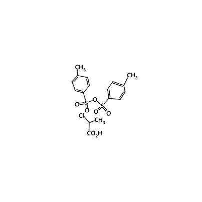 CC(Cl)C(=O)O.Cc1ccc(S(=O)(=O)OS(=O)(=O)c2ccc(C)cc2)cc1